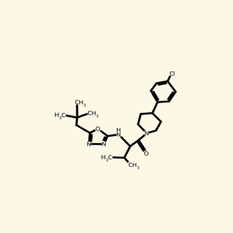 CC(C)C(Nc1nnc(CC(C)(C)C)o1)C(=O)N1CCC(c2ccc(Cl)cc2)CC1